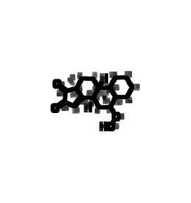 C[C@]12CC[C@H]3[C@@H](CC(OO)C4CCCC[C@@]43C)C1=CC(=O)C2=O